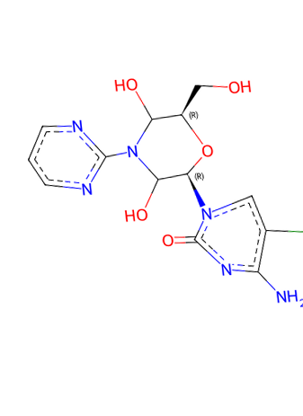 Nc1nc(=O)n([C@@H]2O[C@H](CO)C(O)N(c3ncccn3)C2O)cc1F